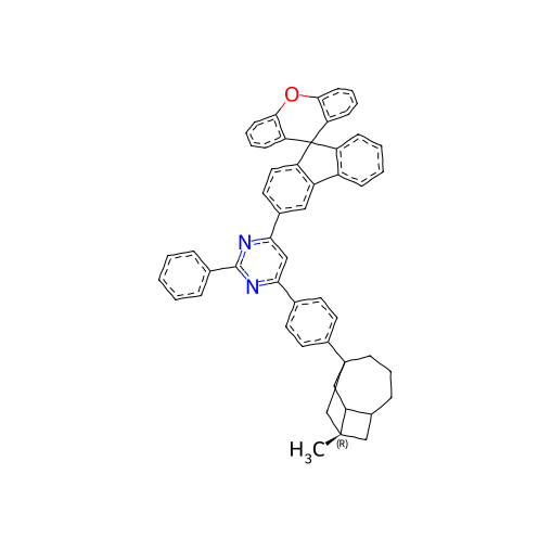 C[C@]12CC3CCCC(c4ccc(-c5cc(-c6ccc7c(c6)-c6ccccc6C76c7ccccc7Oc7ccccc76)nc(-c6ccccc6)n5)cc4)(CC31)C2